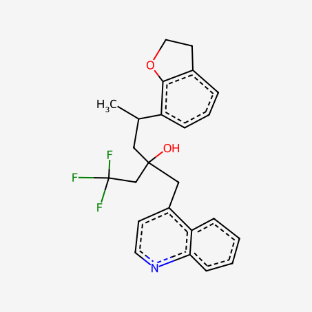 CC(CC(O)(Cc1ccnc2ccccc12)CC(F)(F)F)c1cccc2c1OCC2